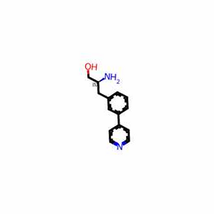 N[C@H](CO)Cc1cccc(-c2ccncc2)c1